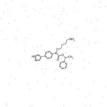 CC(OC(=O)N(OCCCCN)c1ccc(-c2cn[nH]c2)cc1)c1ccccc1